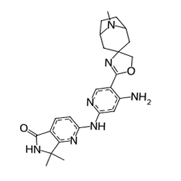 CN1C2CCC1CC1(COC(c3cnc(Nc4ccc5c(n4)C(C)(C)NC5=O)cc3N)=N1)C2